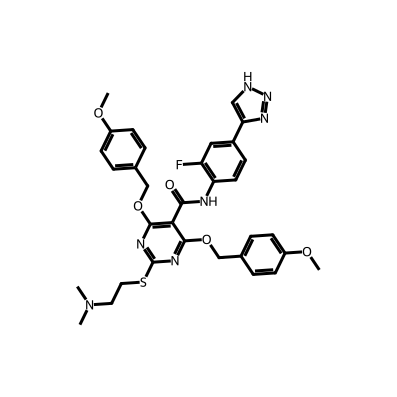 COc1ccc(COc2nc(SCCN(C)C)nc(OCc3ccc(OC)cc3)c2C(=O)Nc2ccc(-c3c[nH]nn3)cc2F)cc1